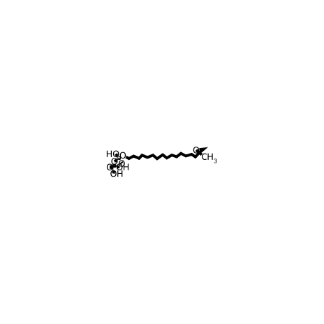 CC1(CCCCCCCCCCCCCCCOP(=O)(O)OP(=O)(O)O)CO1